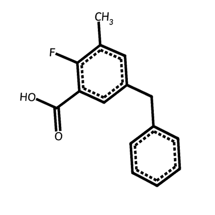 Cc1cc(Cc2ccccc2)cc(C(=O)O)c1F